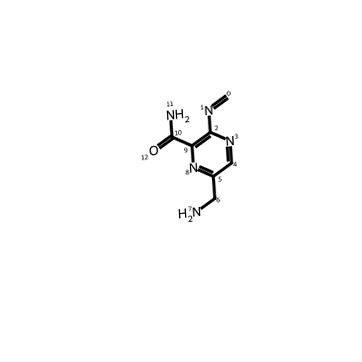 C=Nc1ncc(CN)nc1C(N)=O